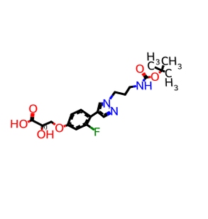 CC(C)(C)OC(=O)NCCCn1cc(-c2ccc(OC[C@@H](O)C(=O)O)cc2F)cn1